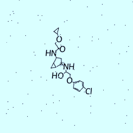 O=C(COC1CC1)NC1C[C@H](NC(O)COc2ccc(Cl)cc2)C2CC12